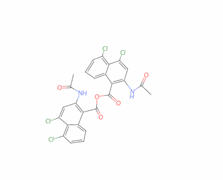 CC(=O)Nc1cc(Cl)c2c(Cl)cccc2c1C(=O)OC(=O)c1c(NC(C)=O)cc(Cl)c2c(Cl)cccc12